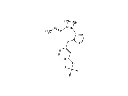 C/N=C/c1[nH][nH]c1-c1cccn1Cc1cccc(OC(F)(F)F)c1